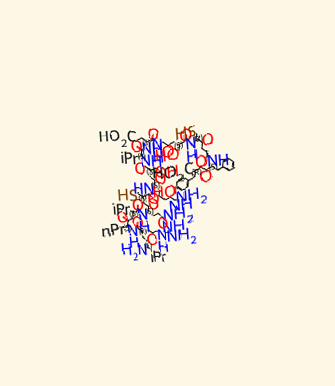 CCC[C@H](NC(=O)[C@H](CCCNC(=N)N)CC(=O)[C@@H](N)CC(C)C)C(=O)C[C@H](C(=O)N[C@@H](CCC(N)=O)C(=O)C[C@@H](CS)C(=O)N[C@@H](CCCCC(=N)N)C(=O)C[C@@H](CO)C(=O)N[C@H](C(=O)N[C@@H](CCC(=O)O)C(=O)NCC(=O)C[C@@H](CO)C(=O)N[C@@H](CS)C(=O)CCC(=O)N[C@@H](Cc1ccccc1)C(=O)C[C@@H](Cc1ccc(O)cc1)C(=O)O)C(C)C)C(C)C